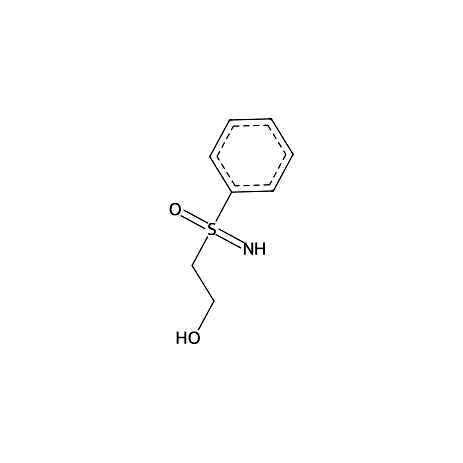 N=S(=O)(CCO)c1ccccc1